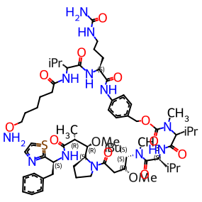 CC[C@H](C)[C@@H]([C@@H](CC(=O)N1CCC[C@H]1[C@H](OC)[C@@H](C)C(=O)N[C@@H](Cc1ccccc1)c1nccs1)OC)N(C)C(=O)[C@@H](NC(=O)C(C(C)C)N(C)C(=O)OCc1ccc(NC(=O)[C@H](CCCNC(N)=O)NC(=O)C(NC(=O)CCCCCON)C(C)C)cc1)C(C)C